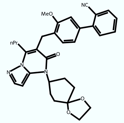 CCCc1c(Cc2ccc(-c3ccccc3C#N)cc2OC)c(=O)n(C2CCC3(CC2)OCCO3)c2ccnn12